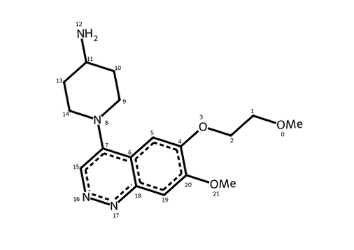 COCCOc1cc2c(N3CCC(N)CC3)cnnc2cc1OC